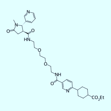 CCOC(=O)C1CCC(c2ccc(C(=O)NCCOCCOCCNC(=O)[C@H]3CC(=O)N(C)[C@@H]3c3cccnc3)cn2)CC1